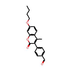 CCCCOc1ccc2c(C)c(-c3ccc(C=O)cc3)c(=O)oc2c1